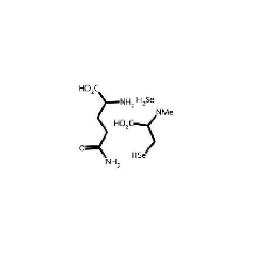 CNC(C[SeH])C(=O)O.NC(=O)CCC(N)C(=O)O.[SeH2]